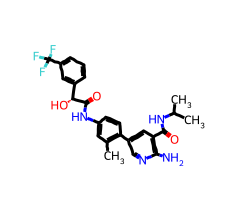 Cc1cc(NC(=O)[C@H](O)c2cccc(C(F)(F)F)c2)ccc1-c1cnc(N)c(C(=O)NC(C)C)c1